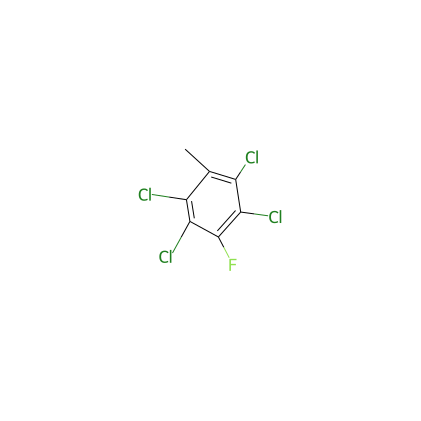 Cc1c(Cl)c(Cl)c(F)c(Cl)c1Cl